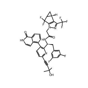 CC(C)(O)C#Cc1ccc(-c2cccc3c(=O)[nH]ccc23)c([C@H](Cc2cc(F)cc(F)c2)NC(=O)Cn2nc(C(F)(F)F)c3c2C(F)(F)C2C[C@H]32)n1